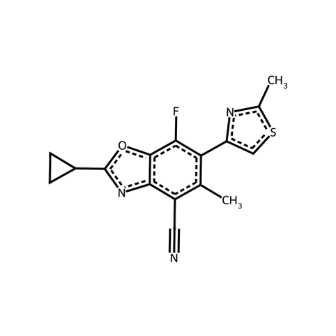 Cc1nc(-c2c(C)c(C#N)c3nc(C4CC4)oc3c2F)cs1